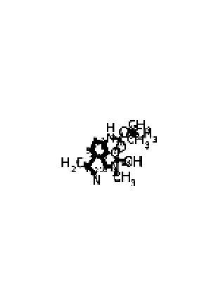 C=C(C#N)c1ccc(NC(=O)OC(C)(C)C)cc1CN(C)C(=O)O